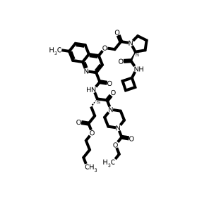 CCCCOC(=O)CC[C@H](NC(=O)c1cc(OCC(=O)N2CCC[C@H]2C(=O)NC2CCC2)c2ccc(C)cc2n1)C(=O)N1CCN(C(=O)OCC)CC1